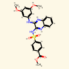 COC(=O)c1ccc(S(=O)(=O)Nc2nc3ccccc3nc2Nc2cc(OC)cc(OC)c2)cc1